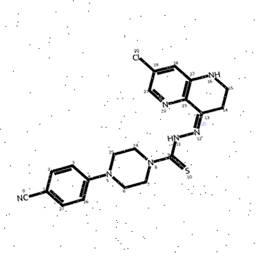 N#Cc1ccc(N2CCN(C(=S)N/N=C3/CCNc4cc(Cl)cnc43)CC2)cc1